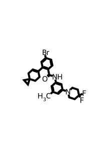 Cc1cc(NC(=O)c2ccc(Br)cc2C2=CCC3(CC2)CC3)cc(N2CCC(F)(F)CC2)c1